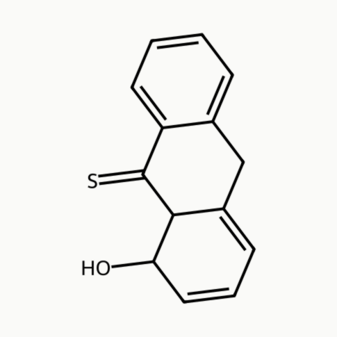 OC1C=CC=C2Cc3ccccc3C(=S)C21